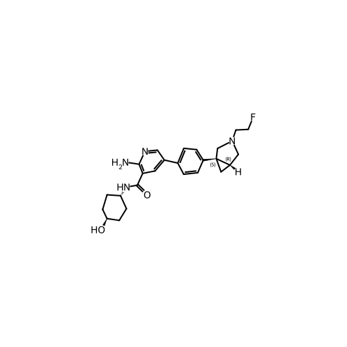 Nc1ncc(-c2ccc([C@]34C[C@H]3CN(CCF)C4)cc2)cc1C(=O)N[C@H]1CC[C@H](O)CC1